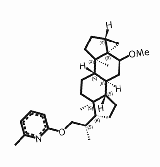 COC1C[C@H]2[C@@H]3CC[C@H]([C@H](C)COc4cccc(C)n4)[C@@]3(C)CC[C@@H]2[C@@]2(C)CC[C@@H]3C[C@@]132